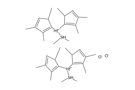 CC1=CC(C)[C]([Hf+]([C]2=C(C)C(C)=CC2C)[SiH](C)C)=C1C.CC1=CC(C)[C]([Hf+]([C]2=C(C)C(C)=CC2C)[SiH](C)C)=C1C.[Cl-].[Cl-]